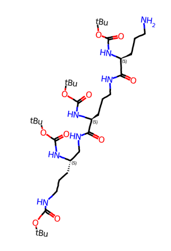 CC(C)(C)OC(=O)NCCC[C@@H](CNC(=O)[C@H](CCCNC(=O)[C@H](CCCN)NC(=O)OC(C)(C)C)NC(=O)OC(C)(C)C)NC(=O)OC(C)(C)C